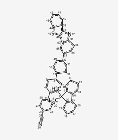 C\C=C(/C=C\C(=C\C1(C)c2ccccc2-c2ccccc21)c1ccc(C#N)cc1)c1ccc(-c2ccc3nc4c5ccccc5sc4n3c2)cc1